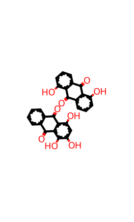 O=C1c2cccc(O)c2C(=O)c2cccc(O)c21.O=C1c2ccccc2C(=O)c2c(O)c(O)cc(O)c21